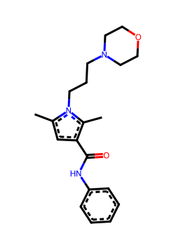 Cc1cc(C(=O)Nc2ccccc2)c(C)n1CCCN1CCOCC1